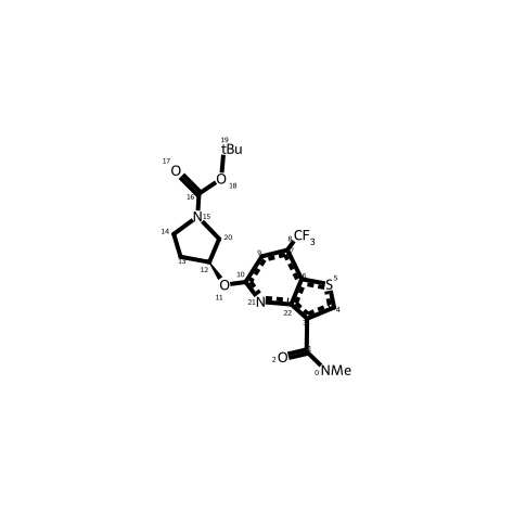 CNC(=O)c1csc2c(C(F)(F)F)cc(O[C@H]3CCN(C(=O)OC(C)(C)C)C3)nc12